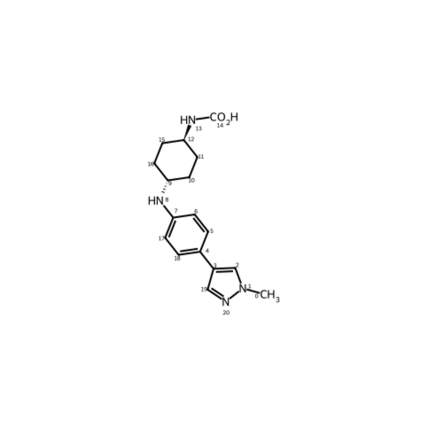 Cn1cc(-c2ccc(N[C@H]3CC[C@H](NC(=O)O)CC3)cc2)cn1